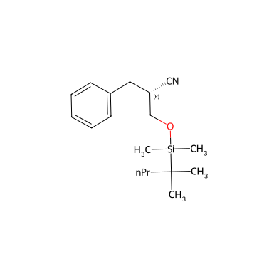 CCCC(C)(C)[Si](C)(C)OC[C@@H](C#N)Cc1ccccc1